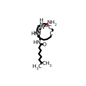 CC(C)CCCCCC(=O)NC12CCCCCCC(N)(CNCCNC1)CNCCNC2